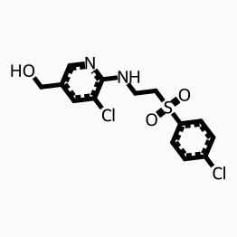 O=S(=O)(CCNc1ncc(CO)cc1Cl)c1ccc(Cl)cc1